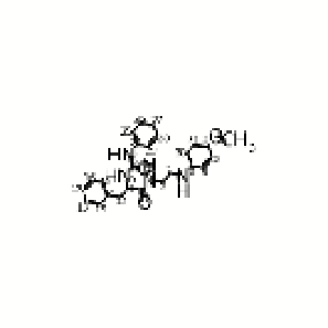 COc1ccc(NCCNC(=O)C(Cc2ccccc2)NC(=O)Nc2ccccc2)cc1